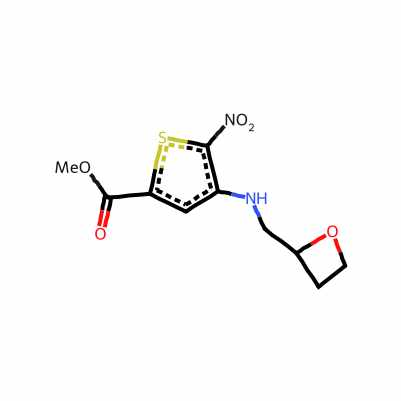 COC(=O)c1cc(NCC2CCO2)c([N+](=O)[O-])s1